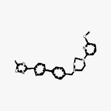 COc1cccc(N2CCN(Cc3ccc(-c4ccc(-c5noc(C)n5)cc4)cc3)CC2)n1